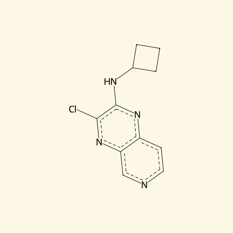 Clc1nc2cnccc2nc1NC1CCC1